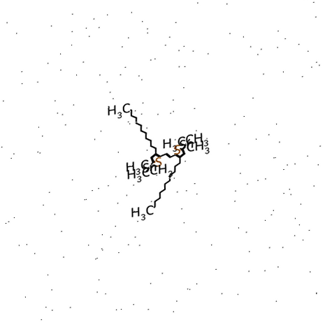 CCCCCCCCCCCCc1c[c]([Sn]([CH3])([CH3])[CH3])sc1C=Cc1s[c]([Sn]([CH3])([CH3])[CH3])cc1CCCCCCCCCCCC